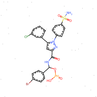 NS(=O)(=O)c1ccc(-n2nc(C(=O)NC(O[PH](=O)O)c3ccc(Br)cc3)cc2-c2cccc(Cl)c2)cc1